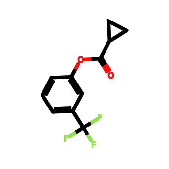 O=C(Oc1cccc(C(F)(F)F)c1)C1CC1